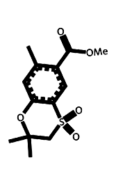 COC(=O)c1cc2c(cc1C)OC(C)(C)CS2(=O)=O